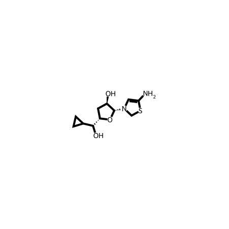 NC1=CN([C@@H]2O[C@H](C(O)C3CC3)C[C@H]2O)CS1